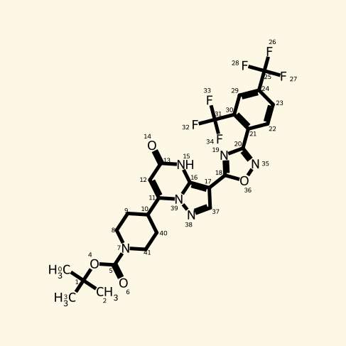 CC(C)(C)OC(=O)N1CCC(c2cc(=O)[nH]c3c(-c4nc(-c5ccc(C(F)(F)F)cc5C(F)(F)F)no4)cnn23)CC1